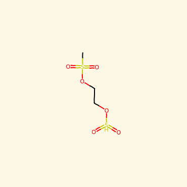 CS(=O)(=O)OCCO[SH](=O)=O